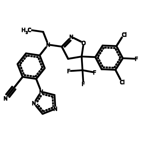 CCN(C1=NOC(c2cc(Cl)c(F)c(Cl)c2)(C(F)(F)F)C1)c1ccc(C#N)c(-n2cncn2)c1